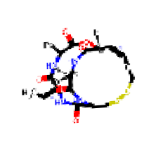 C/C=C1/NC(=O)C2CSSCC/C=C\[C@@H](OC(=O)C(C(C)C)NC1=O)C(=O)N[C@H](C(C)C)C(=O)N2